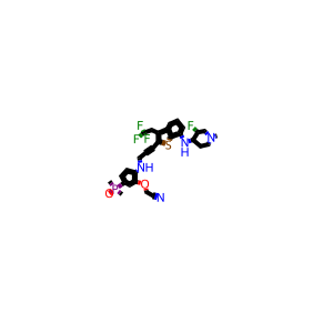 CN1CCC(Nc2cccc3c(CC(F)(F)F)c(C#CCNc4ccc(P(C)(C)=O)cc4OCC#N)sc23)C(F)C1